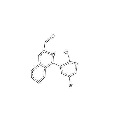 O=Cc1cc2ccccc2c(-c2cc(Br)ccc2Cl)n1